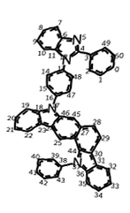 c1ccc(-c2nc3ccccc3n2-c2ccc(-n3c4ccccc4c4cc5c(ccc6c7ccccc7n(-c7ccccc7)c56)cc43)cc2)cc1